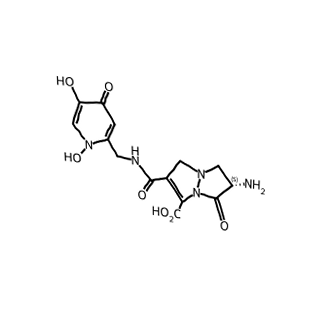 N[C@H]1CN2CC(C(=O)NCc3cc(=O)c(O)cn3O)=C(C(=O)O)N2C1=O